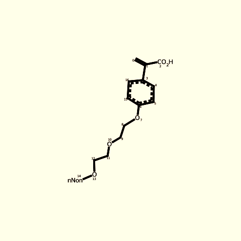 C=C(C(=O)O)c1ccc(OCCOCCOCCCCCCCCC)cc1